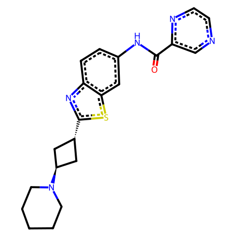 O=C(Nc1ccc2nc([C@H]3C[C@H](N4CCCCC4)C3)sc2c1)c1cnccn1